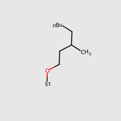 CCCCCC(C)C[CH]OCC